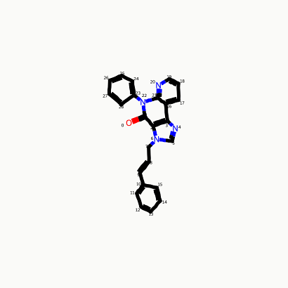 O=c1c2c(ncn2C/C=C/c2ccccc2)c2cccnc2n1-c1ccccc1